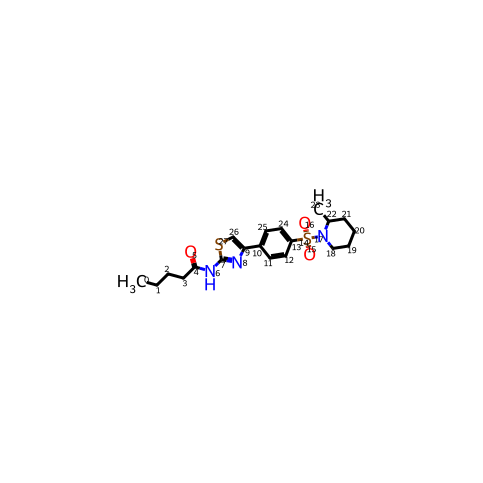 CCCCC(=O)Nc1nc(-c2ccc(S(=O)(=O)N3CCCCC3C)cc2)cs1